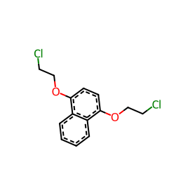 ClCCOc1ccc(OCCCl)c2ccccc12